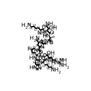 C[C@H](NC(=O)[C@@H](NC(=O)[C@@H](N)CCCCN)[C@@H](O)CN)C(=O)NCC(=O)/N=C(\CCCN)C(=O)N1C[C@@H](F)C[C@H]1C(=O)N[C@@H](Cc1cnc[nH]1)C(=O)N[C@@H](CCCCN)C(=O)N/C(=C\CCNC(=N)N)C(=O)O